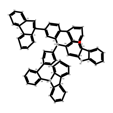 c1ccc(-c2ccc(-c3cc4ccccc4c4ccccc34)cc2N(c2ccc(-c3ccccc3-n3c4ccccc4c4ccccc43)cc2)c2ccc3c(c2)sc2ccccc23)cc1